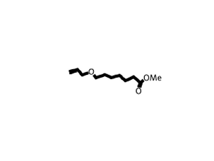 C=CCOCCCCCCC(=O)OC